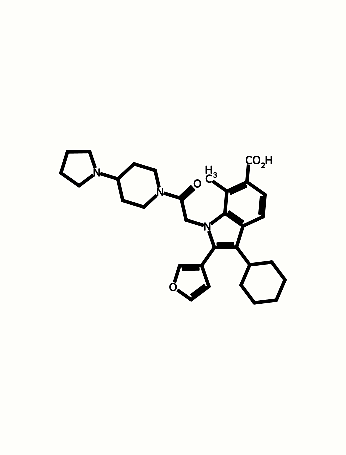 Cc1c(C(=O)O)ccc2c(C3CCCCC3)c(-c3ccoc3)n(CC(=O)N3CCC(N4CCCC4)CC3)c12